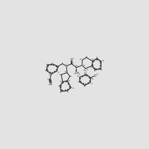 C[C@@H](C(=O)N(Cc1cccc(C#N)c1)C1Cc2ccccc2C1)N1CCc2ccccc2[C@@H]1c1ccccc1Cl